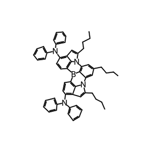 CCCCc1cc2c3c(c1)-n1c(CCCC)cc4c(N(c5ccccc5)c5ccccc5)ccc(c41)B3c1ccc(N(c3ccccc3)c3ccccc3)c3cc(CCCC)n-2c13